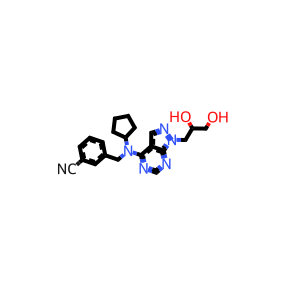 N#Cc1cccc(CN(c2ncnc3c2cnn3CC(O)CO)C2CCCC2)c1